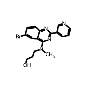 CN(CCCO)c1nc(-c2cccnc2)nc2ccc(Br)cc12